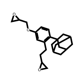 c1cc(C23CC4CC(CC(C4)C2)C3)c(CCC2CO2)cc1OCC1CO1